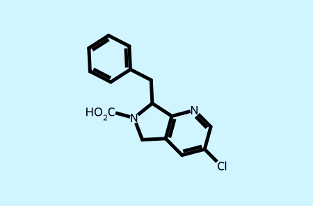 O=C(O)N1Cc2cc(Cl)cnc2C1Cc1ccccc1